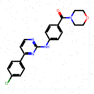 O=C(c1ccc(Nc2nccc(-c3ccc(Cl)cc3)n2)cc1)N1CCOCC1